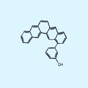 Oc1cccc(-c2cccc3cc4ccc5cc6ccccc6cc5c4cc23)c1